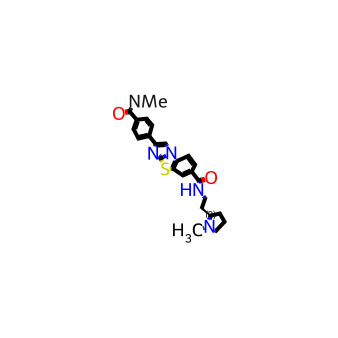 CNC(=O)c1ccc(-c2cn3c(n2)sc2cc(C(=O)NCC[C@H]4CCCN4C)ccc23)cc1